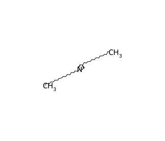 CCCCCCCCCCCCCCCCC[n+]1ccc(CCCCCCCCCCCCCC)cc1